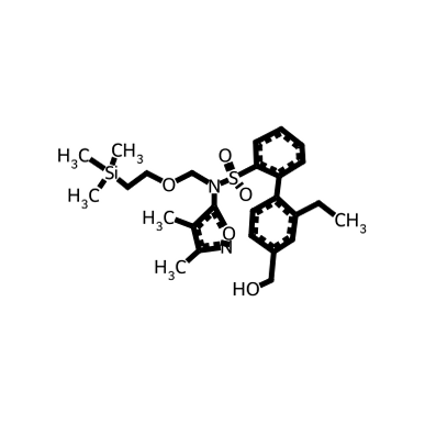 CCc1cc(CO)ccc1-c1ccccc1S(=O)(=O)N(COCC[Si](C)(C)C)c1onc(C)c1C